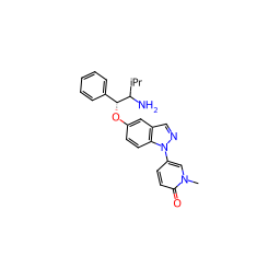 CC(C)C(N)[C@H](Oc1ccc2c(cnn2-c2ccc(=O)n(C)c2)c1)c1ccccc1